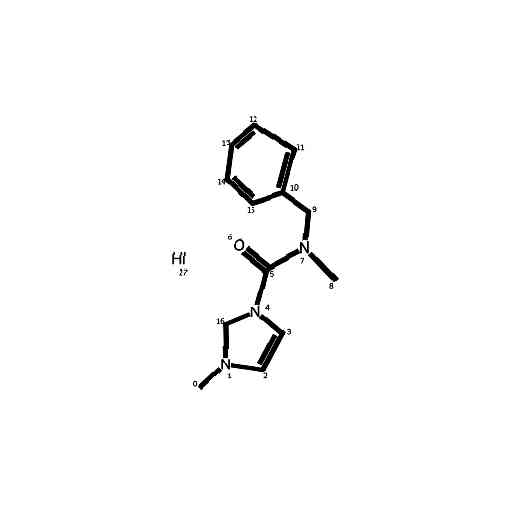 CN1C=CN(C(=O)N(C)Cc2ccccc2)C1.I